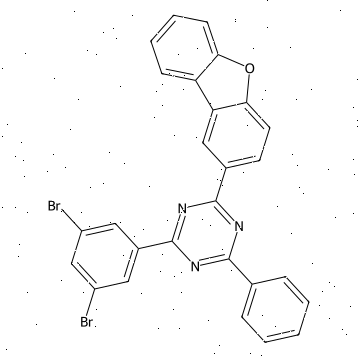 Brc1cc(Br)cc(-c2nc(-c3ccccc3)nc(-c3ccc4oc5ccccc5c4c3)n2)c1